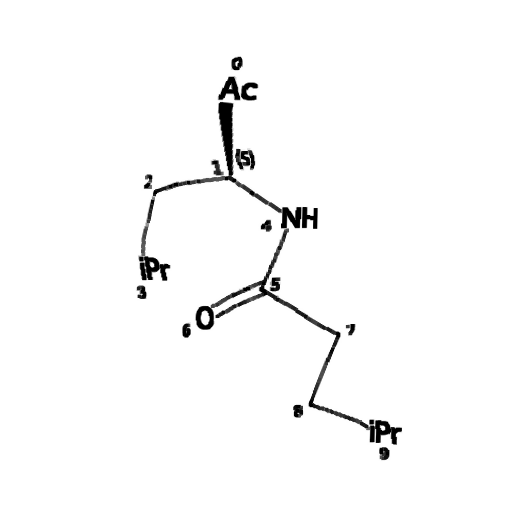 CC(=O)[C@H](CC(C)C)NC(=O)CCC(C)C